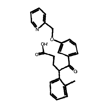 Cc1ccccc1C(CCC(=O)O)C(=O)c1cccc(OCc2ccccn2)c1